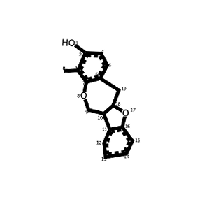 Cc1c(O)ccc2c1OCC1c3ccccc3OC1C2